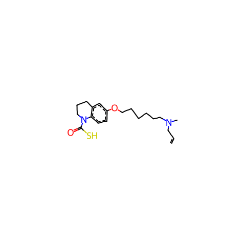 C=CCN(C)CCCCCCOc1ccc2c(c1)CCCN2C(=O)S